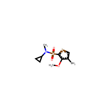 Bc1csc(S(=O)(=O)N(C)C2CC2)c1OC